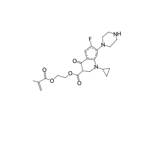 C=C(C)C(=O)OCCOC(=O)C1CN(C2CC2)c2cc(N3CCNCC3)c(F)cc2C1=O